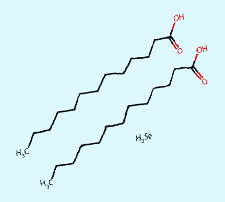 CCCCCCCCCCCCC(=O)O.CCCCCCCCCCCCC(=O)O.[SeH2]